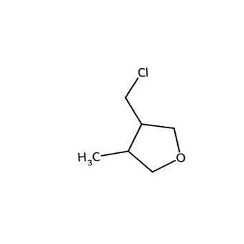 CC1COCC1CCl